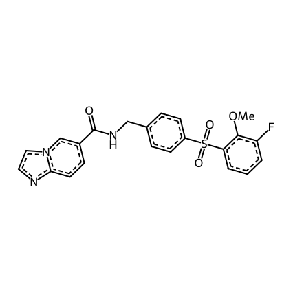 COc1c(F)cccc1S(=O)(=O)c1ccc(CNC(=O)c2ccc3nccn3c2)cc1